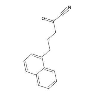 N#CC(=O)CCCc1cccc2ccccc12